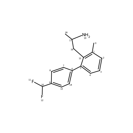 Cc1[c]ccc(-c2ccc(C(F)F)cc2)c1CC(C)N